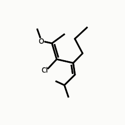 CCCC(=C/C(C)C)/C(Cl)=C(\C)OC